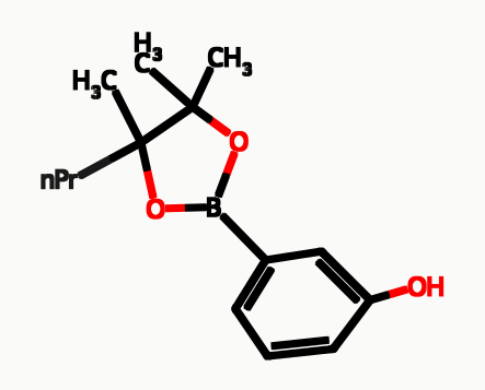 CCCC1(C)OB(c2cccc(O)c2)OC1(C)C